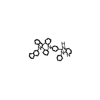 c1ccc(N2c3ncccc3NC2c2ccc(N3c4ccccc4-c4c(n(-c5ccc6ccccc6c5)c5ccccc45)-c4ccccc43)cc2)cc1